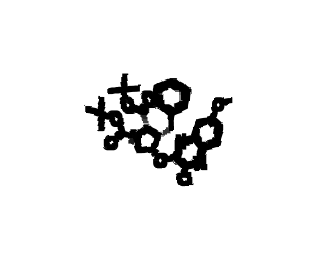 COc1ccc2nc(Cl)c(O[C@H]3CN(C(=O)OC(C)(C)C)[C@H](C(=O)OC(C)(C)C)[C@@H]3Cc3ccccc3)nc2c1